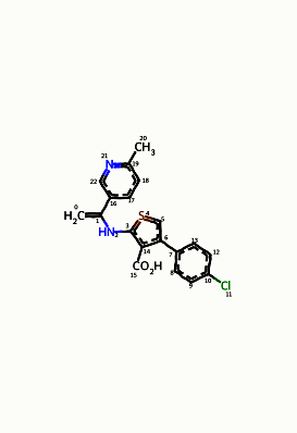 C=C(Nc1scc(-c2ccc(Cl)cc2)c1C(=O)O)c1ccc(C)nc1